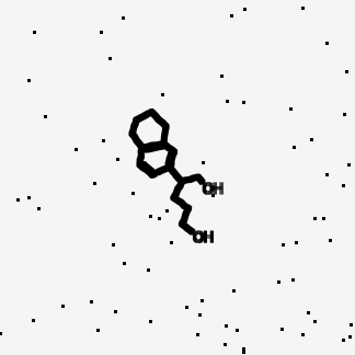 OCCCC(CO)c1ccc2c(c1)CCCC2